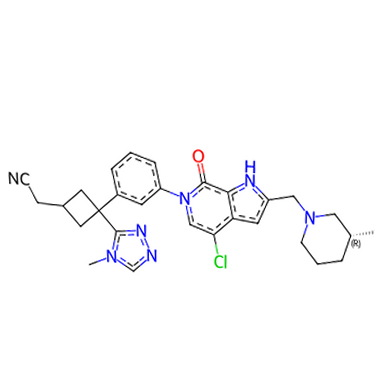 C[C@@H]1CCCN(Cc2cc3c(Cl)cn(-c4cccc(C5(c6nncn6C)CC(CC#N)C5)c4)c(=O)c3[nH]2)C1